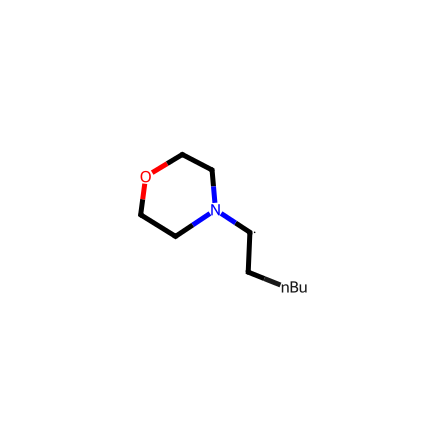 CCCCC[CH]N1CCOCC1